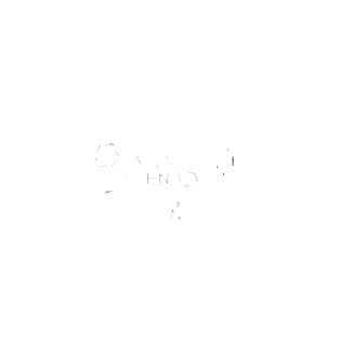 CCOC(=O)N1CCc2c(sc(NC(=O)/C=C/c3ccccc3OC(C)=O)c2C#N)C1